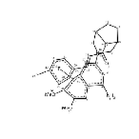 COc1cc2c(N)nc(N3CC4CCC(C3)N4C(=O)C=Cc3ccc(F)cc3)nc2c(F)c1OC